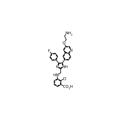 NCCOc1cnc2ccc(-c3[nH]c(CNc4cccc(C(=O)O)c4Cl)nc3-c3ccc(F)cc3)cc2c1